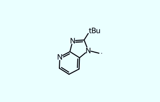 [CH2]n1c(C(C)(C)C)nc2ncccc21